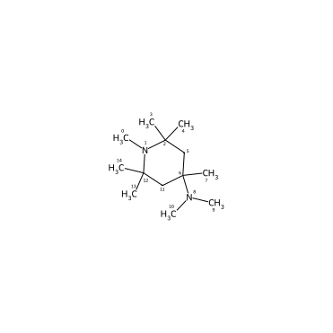 CN1C(C)(C)CC(C)(N(C)C)CC1(C)C